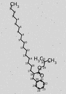 CCCCCCCCCCCCCCCCCCC(Cc1ccccc1)C(=O)OCC(C)C